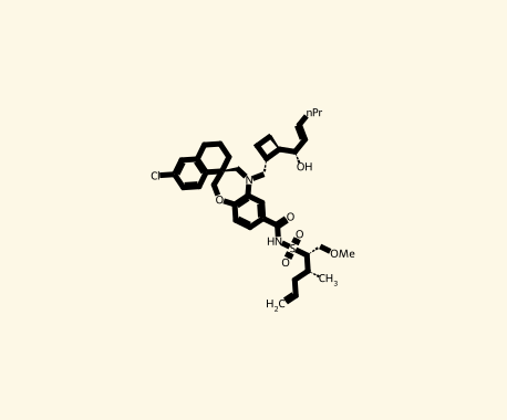 C=CC[C@@H](C)[C@@H](COC)S(=O)(=O)NC(=O)c1ccc2c(c1)N(C[C@@H]1CC[C@H]1[C@@H](O)/C=C/CCC)C[C@@]1(CCCc3cc(Cl)ccc31)CO2